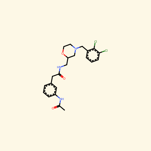 CC(=O)Nc1cccc(CC(=O)NCC2CN(Cc3cccc(Cl)c3Cl)CCO2)c1